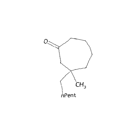 CCCCCCC1(C)CCCCC(=O)C1